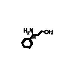 N[C@H](CCO)c1ccccc1